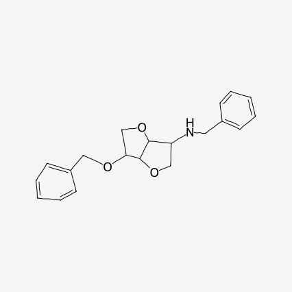 c1ccc(CNC2COC3C(OCc4ccccc4)COC23)cc1